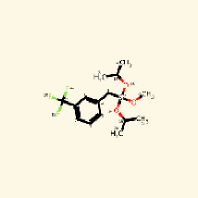 CO[Si](Cc1cccc(C(F)(F)F)c1)(OC(C)C)OC(C)C